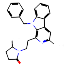 O=C(O)c1cc2c3ccccc3n(Cc3ccccc3)c2c(CCN2C(=O)CCC2C(=O)O)n1